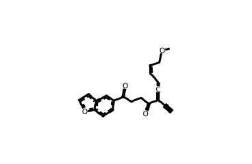 C#CC(=C=C/C=C\COC)C(=O)CCC(=O)c1ccc2occc2c1